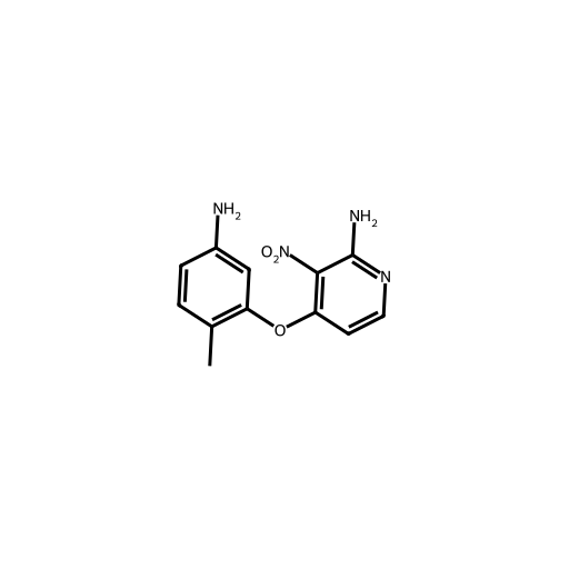 Cc1ccc(N)cc1Oc1ccnc(N)c1[N+](=O)[O-]